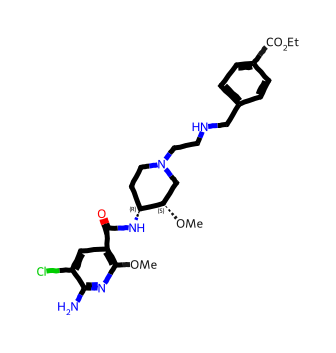 CCOC(=O)c1ccc(CNCCN2CC[C@@H](NC(=O)c3cc(Cl)c(N)nc3OC)[C@@H](OC)C2)cc1